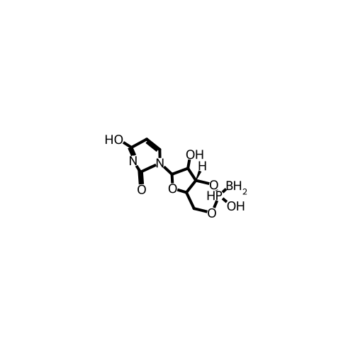 B[PH]1(O)OCC2OC(n3ccc(O)nc3=O)C(O)[C@@H]2O1